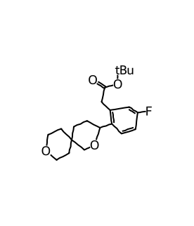 CC(C)(C)OC(=O)Cc1cc(F)ccc1C1CCC2(CCOCC2)CO1